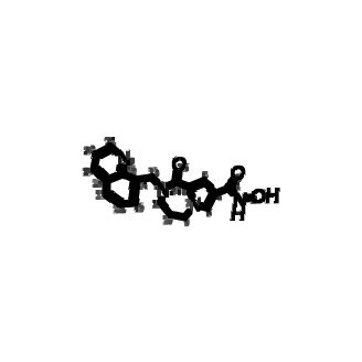 O=C(NO)c1cc2n(c1)CCCN(Cc1cccc3cccnc13)C2=O